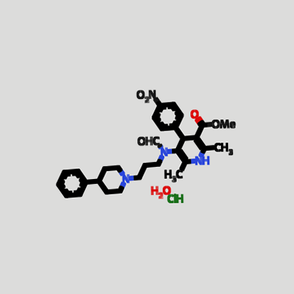 COC(=O)C1=C(C)NC(C)=C(N(C=O)CCCN2CCC(c3ccccc3)CC2)C1c1ccc([N+](=O)[O-])cc1.Cl.O